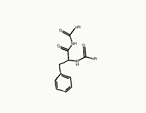 CCCC(=O)NC(=O)C(Cc1ccccc1)NC(=O)CCC